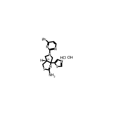 CC(C)c1ccnc(N2C[C@H]3CSC(N)=NC3(c3cncs3)C2)n1.Cl.Cl